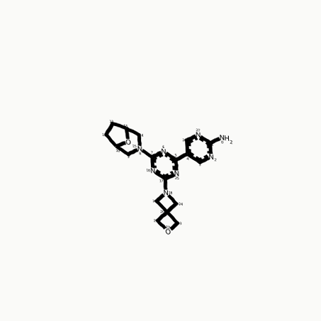 Nc1ncc(-c2nc(N3CC4CCC(C3)O4)nc(N3CC4(COC4)C3)n2)cn1